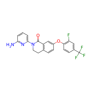 Nc1cccc(N2CCc3ccc(Oc4ccc(C(F)(F)F)cc4F)cc3C2=O)n1